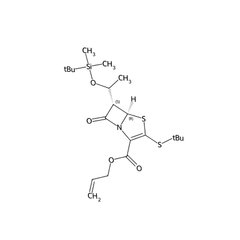 C=CCOC(=O)C1=C(SC(C)(C)C)S[C@@H]2[C@@H](C(C)O[Si](C)(C)C(C)(C)C)C(=O)N12